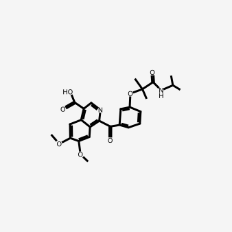 COc1cc2c(C(=O)O)cnc(C(=O)c3cccc(OC(C)(C)C(=O)NC(C)C)c3)c2cc1OC